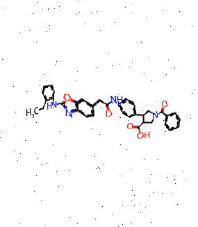 CCc1ccccc1Nc1nc2ccc(CC(=O)Nc3ccc(C4CN(C(=O)c5ccccc5)CC4C(=O)O)cc3)cc2o1